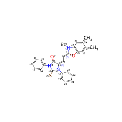 CCN1/C(=C/C=C2\C(=O)N(c3ccccc3)C(=S)N2c2ccccc2)Oc2cc(C)c(C)cc21